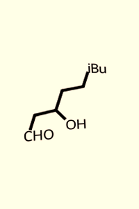 CCC(C)CCC(O)CC=O